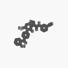 CC1Cn2ncc(C(=O)Nc3cccc(C#N)c3)c2C(=O)N1c1ccc(C(=O)c2ccccc2O)cc1